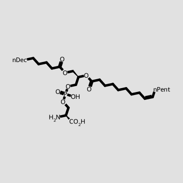 CCCCC/C=C\CCCCCCCC(=O)O[C@H](COC(=O)CCCCCCCCCCCCCC)COP(=O)(O)OC[C@H](N)C(=O)O